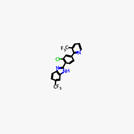 FC(F)(F)c1ccc2nc(-c3ccc(-c4ncccc4C(F)(F)F)cc3Cl)[nH]c2c1